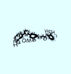 COc1cc(-c2nccc(-c3cc4n(n3)CCNC4=O)n2)ccc1OCC(=O)Nc1ccccc1C